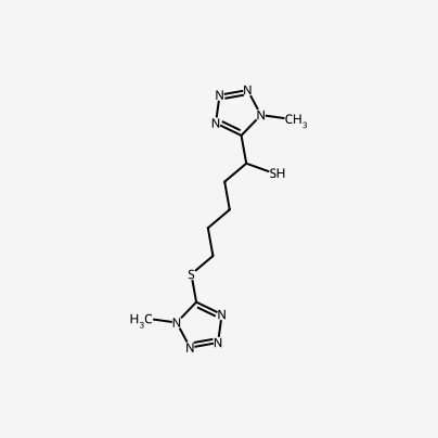 Cn1nnnc1SCCCCC(S)c1nnnn1C